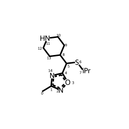 Cc1noc(C(SC(C)C)C2CCNCC2)n1